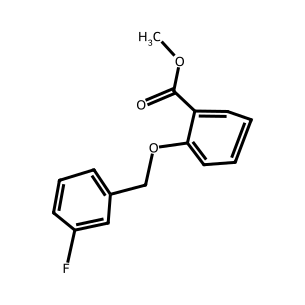 COC(=O)c1ccccc1OCc1cccc(F)c1